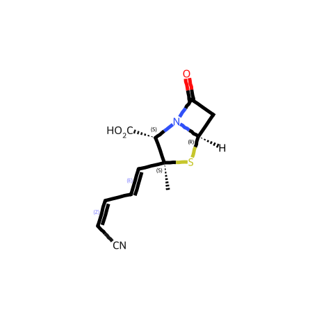 C[C@@]1(/C=C/C=C\C#N)S[C@@H]2CC(=O)N2[C@H]1C(=O)O